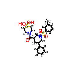 CC(=O)c1cccc(S(=O)(=O)N2CC(C(=O)N3CCS(O)(O)CC3)CC(c3ccccc3)C2)c1